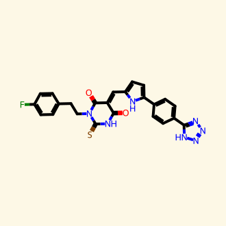 O=C1NC(=S)N(CCc2ccc(F)cc2)C(=O)/C1=C/c1ccc(-c2ccc(-c3nnn[nH]3)cc2)[nH]1